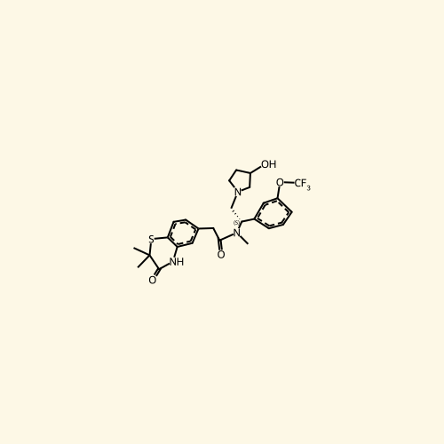 CN(C(=O)Cc1ccc2c(c1)NC(=O)C(C)(C)S2)[C@H](CN1CCC(O)C1)c1cccc(OC(F)(F)F)c1